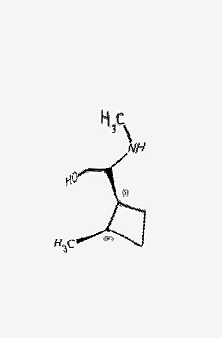 CNC(O)[C@H]1CC[C@H]1C